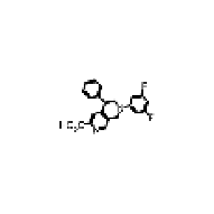 O=C(O)c1cc2c(cn1)CN(c1cc(F)cc(F)c1)CC2c1ccccc1